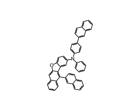 c1ccc(N(c2ccc(-c3ccc4ccccc4c3)cc2)c2ccc3oc4cc5ccccc5c(-c5ccc6ccccc6c5)c4c3c2)cc1